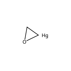 C1CO1.[Hg]